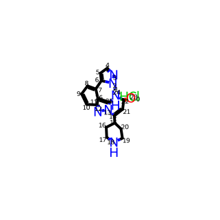 Cl.Cn1nccc1-c1cccc2nn3c(C4CCNCC4)cc(=O)[nH]c3c12